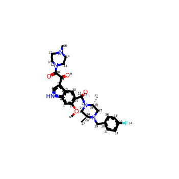 COc1cc2[nH]cc(C(=O)C(=O)N3CCN(C)CC3)c2cc1C(=O)N1C[C@H](C)N(Cc2ccc(F)cc2)C[C@H]1C